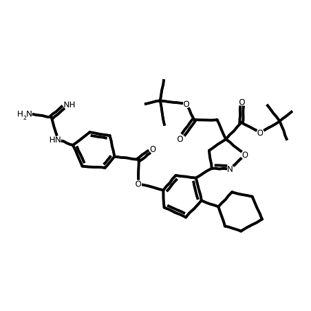 CC(C)(C)OC(=O)CC1(C(=O)OC(C)(C)C)CC(c2cc(OC(=O)c3ccc(NC(=N)N)cc3)ccc2C2CCCCC2)=NO1